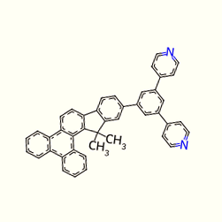 CC1(C)c2cc(-c3cc(-c4ccncc4)cc(-c4ccncc4)c3)ccc2-c2ccc3c4ccccc4c4ccccc4c3c21